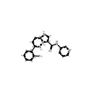 O=C(Nc1cccnc1)c1cnc2ccc(-c3ccccc3F)nn12